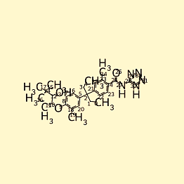 CCC(CC)(c1ccc(OC(C)C(O)C(C)(C)C)c(C)c1)c1ccc(C(=O)Nc2nnn[nH]2)c(C)c1